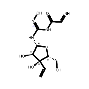 C=C[C@@]1(O)[C@@H](CO)O[C@@H](N/C(=N/O)NC(=O)C=N)[C@@H]1O